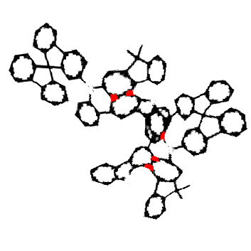 CC1(C)c2ccccc2-c2ccc(N(c3ccc4c(c3)C3(c5ccccc5-c5ccccc53)c3ccccc3-4)c3ccccc3-c3ccc4oc5c(-c6ccc7c(c6)C6(c8ccccc8-7)c7ccccc7-c7ccc(N(c8ccc9c(c8)C(C)(C)c8ccccc8-9)c8ccccc8-c8ccc9sc%10ccccc%10c9c8)cc76)cccc5c4c3)cc21